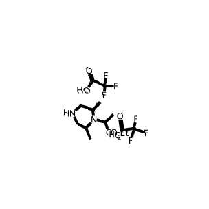 CCOC(=O)C(C)N1C(C)CNCC1C.O=C(O)C(F)(F)F.O=C(O)C(F)(F)F